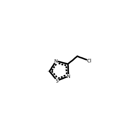 ClCc1n[c]sn1